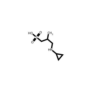 CC(CNC1CC1)CS(=O)(=O)O